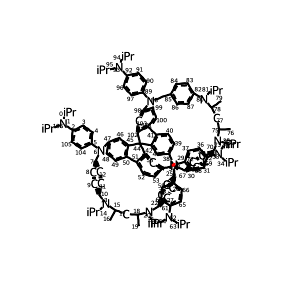 CC(C)N(c1ccc(N2c3ccc(cc3)N(C(C)C)C(C)CC(C)N(C(C)C)c3ccc(cc3)N(c3ccc(N(C(C)C)C(C)C)cc3)c3ccc4c(c3)C35c6cc2ccc6-c2ccc(cc23)N(c2ccc(N(C(C)C)C(C)C)cc2)c2ccc(cc2)N(C(C)C)C(C)CC(C)N(C(C)C)c2ccc(cc2)N(c2ccc(N(C(C)C)C(C)C)cc2)c2ccc-4c5c2)cc1)C(C)C